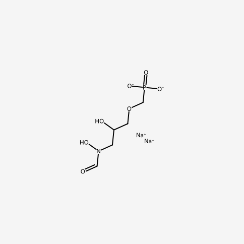 O=CN(O)CC(O)COCP(=O)([O-])[O-].[Na+].[Na+]